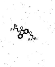 CCN(CC)CCOc1ccc2c(=O)n(CCN(CC)CC)c3ccccc3c2c1